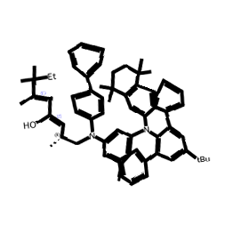 CCC(C)(C)/C(C)=C/C(O)=C/[C@@H](C)CN(c1ccc(-c2ccccc2)cc1)c1cc(C)cc(N(c2ccc3c(c2)C(C)(C)CCC3(C)C)c2c(-c3ccccc3)cc(C(C)(C)C)cc2-c2ccccc2)c1